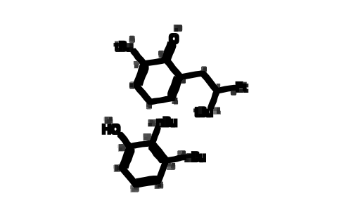 CCC(CC1=CCC=C(C(C)(C)C)C1=O)C(C)(C)C.CCCCc1cccc(O)c1CCCC